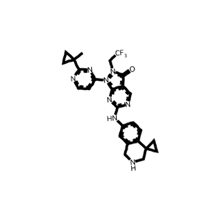 CC1(c2nccc(-n3c4nc(Nc5ccc6c(c5)CNCC65CC5)ncc4c(=O)n3CC(F)(F)F)n2)CC1